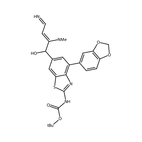 CN/C(=C\C=N)C(O)c1cc(-c2ccc3c(c2)OCO3)c2nc(NC(=O)OC(C)(C)C)sc2c1